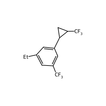 CCc1cc(C2CC2C(F)(F)F)cc(C(F)(F)F)c1